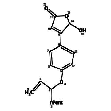 C=CC(CCCCC)Oc1ccc(C2=CC(=O)OC2O)cc1